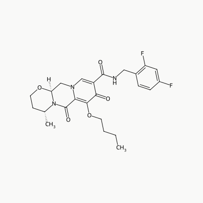 CCCCOc1c2n(cc(C(=O)NCc3ccc(F)cc3F)c1=O)C[C@@H]1OCC[C@@H](C)N1C2=O